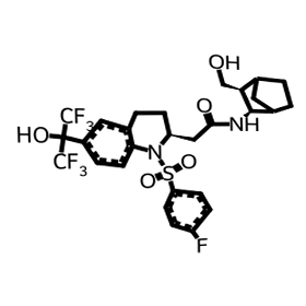 O=C(C[C@@H]1CCc2cc(C(O)(C(F)(F)F)C(F)(F)F)ccc2N1S(=O)(=O)c1ccc(F)cc1)N[C@@H]1C2CCC(C2)[C@@H]1CO